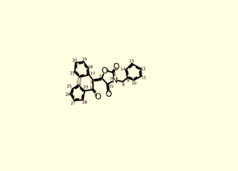 O=C(C(=C1OC(=O)N(Cc2ccccc2)C1=O)c1ccccc1)c1ccccc1